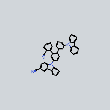 N#Cc1ccc2c(c1)c1ccccc1n2-c1ccc(-c2cccc(-n3c4ccccc4c4ccccc43)c2)c(-c2ccccc2C#N)c1